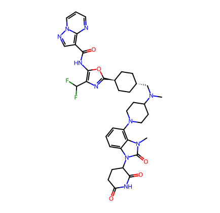 CN(C[C@H]1CC[C@H](c2nc(C(F)F)c(NC(=O)c3cnn4cccnc34)o2)CC1)C1CCN(c2cccc3c2n(C)c(=O)n3C2CCC(=O)NC2=O)CC1